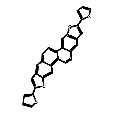 c1csc(-c2cc3cc4ccc5c6cc7sc(-c8cccs8)cc7cc6ccc5c4cc3s2)c1